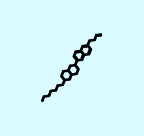 C=CCCc1ccc2cc(C3CCC4CC(CCCCCCC)CCC4C3)ccc2c1